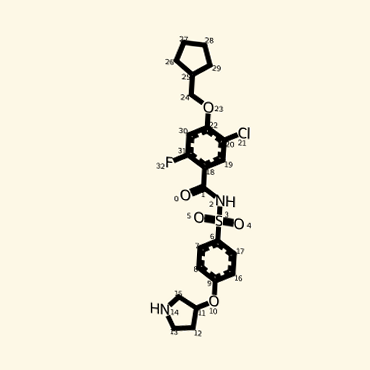 O=C(NS(=O)(=O)c1ccc(OC2CCNC2)cc1)c1cc(Cl)c(OCC2CCCC2)cc1F